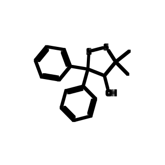 CC1(C)SSC(c2ccccc2)(c2ccccc2)C1O